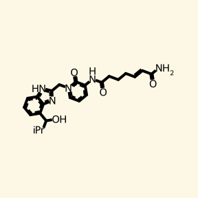 CC(C)C(O)c1cccc2[nH]c(Cn3cccc(NC(=O)CCC/C=C/C(N)=O)c3=O)nc12